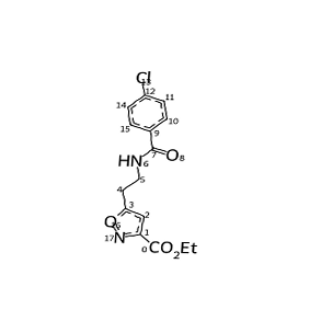 CCOC(=O)c1cc(CCNC(=O)c2ccc(Cl)cc2)on1